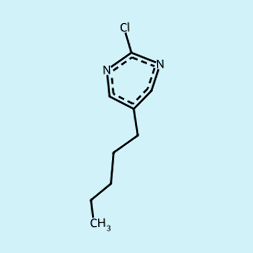 CCCCCc1cnc(Cl)nc1